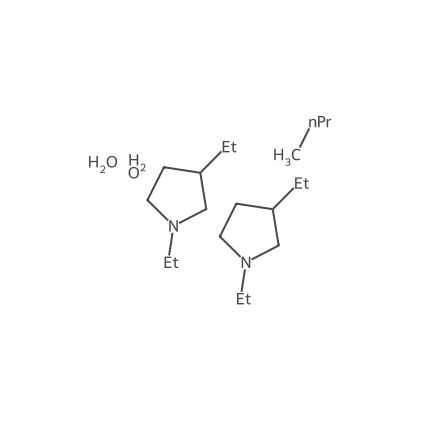 CCC1CCN(CC)C1.CCC1CCN(CC)C1.CCCC.O.O